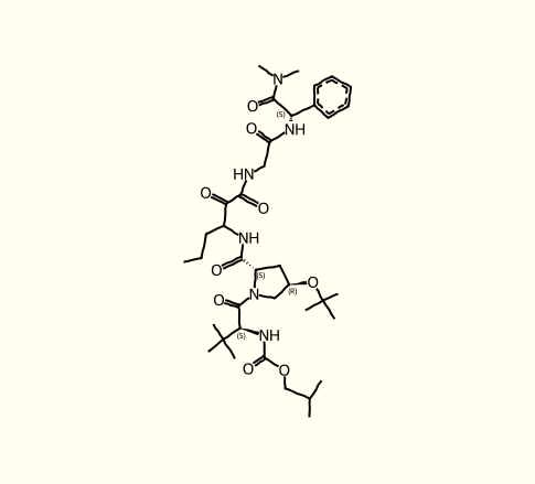 CCCC(NC(=O)[C@@H]1C[C@@H](OC(C)(C)C)CN1C(=O)[C@@H](NC(=O)OCC(C)C)C(C)(C)C)C(=O)C(=O)NCC(=O)N[C@H](C(=O)N(C)C)c1ccccc1